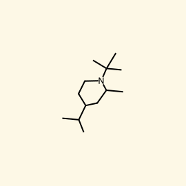 CC(C)C1CCN(C(C)(C)C)C(C)C1